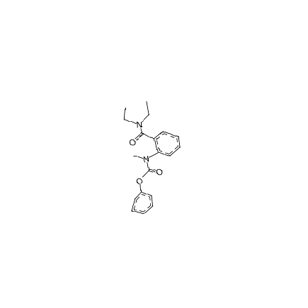 CCN(CC)C(=O)c1ccccc1N(C)C(=O)Oc1ccccc1